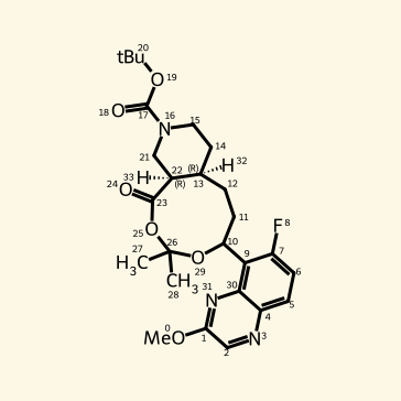 COc1cnc2ccc(F)c(C3CC[C@@H]4CCN(C(=O)OC(C)(C)C)C[C@@H]4C(=O)OC(C)(C)O3)c2n1